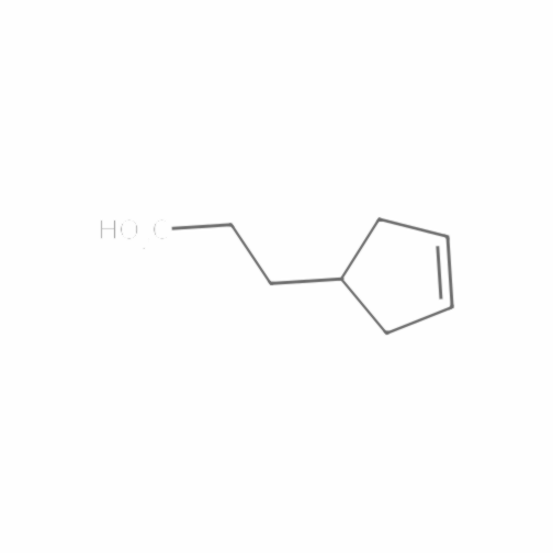 O=C(O)CCC1CC=CC1